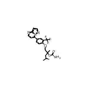 CC(C)CC(C)(COc1ccc(-c2ccnc3ccnn23)cc1C(F)(F)F)OC(N)=O